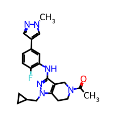 CC(=O)N1CCc2c(c(Nc3cc(-c4cnn(C)c4)ccc3F)nn2CC2CC2)C1